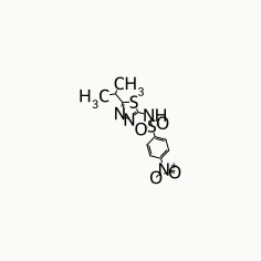 CC(C)c1nnc(NS(=O)(=O)c2ccc([N+](=O)[O-])cc2)s1